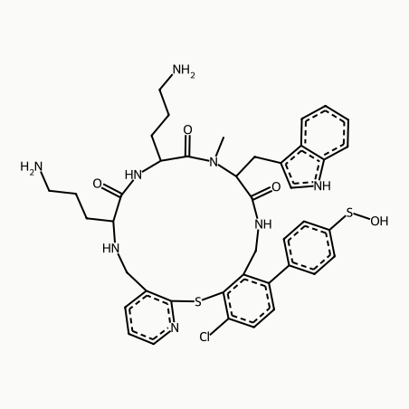 CN1C(=O)C(CCCN)NC(=O)C(CCCN)NCc2cccnc2Sc2c(Cl)ccc(-c3ccc(SO)cc3)c2CNC(=O)C1Cc1c[nH]c2ccccc12